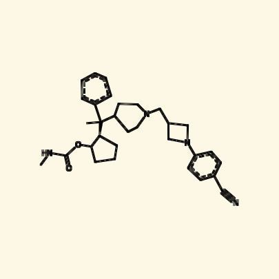 CNC(=O)OC1CCC[C@@H]1C(C)(c1ccccc1)C1CCN(CC2CN(c3ccc(C#N)cc3)C2)CC1